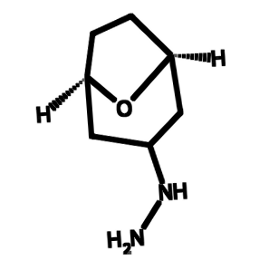 NNC1C[C@H]2CC[C@@H](C1)O2